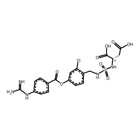 N=C(N)Nc1ccc(C(=O)Oc2ccc(CNS(=O)(=O)N[C@@H](CC(=O)O)C(=O)O)c(Cl)c2)cc1